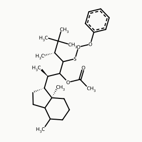 CC(=O)OC(C(SOOc1ccccc1)[C@H](C)C(C)(C)C)[C@H](C)[C@H]1CCC2C(C)CCC[C@@]21C